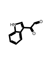 O=[C]C(=O)c1c[nH]c2ccccc12